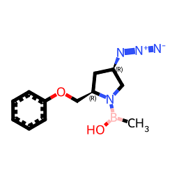 CB(O)N1C[C@H](N=[N+]=[N-])C[C@@H]1COc1ccccc1